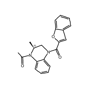 CC(=O)N1c2ccccc2N(C(=O)c2cc3ccccc3o2)C[C@@H]1C